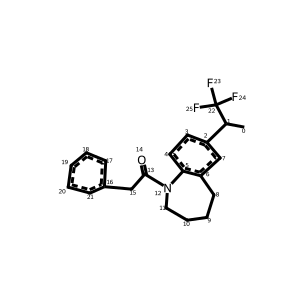 CC(c1ccc2c(c1)CCCCN2C(=O)Cc1ccccc1)C(F)(F)F